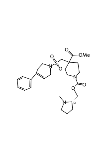 COC(=O)C1(CS(=O)(=O)N2CC=C(c3ccccc3)CC2)CCN(C(=O)OC[C@@H]2CCCN2C)CC1